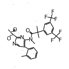 Cc1ccccc1-c1cnc(S(C)(=O)=O)nc1N(C)C(=O)C(C)(C)c1cc(C(F)(F)F)cc(C(F)(F)F)c1